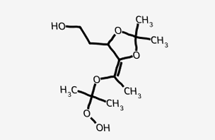 C/C(OC(C)(C)OO)=C1\OC(C)(C)OC1CCO